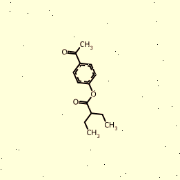 CCC(CC)C(=O)Oc1ccc(C(C)=O)cc1